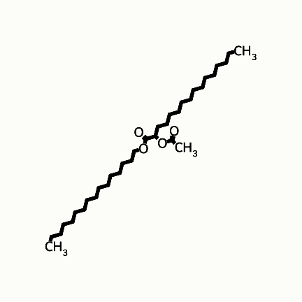 CCCCCCCCCCCCCCCCOC(=O)C(CCCCCCCCCCCCCC)OC(C)=O